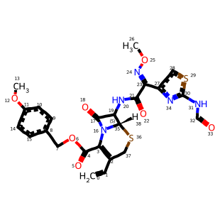 C=CC1=C(C(=O)OCc2ccc(OC)cc2)N2C(=O)C(NC(=O)C(=NOC)c3csc(NC=O)n3)[C@@H]2SC1